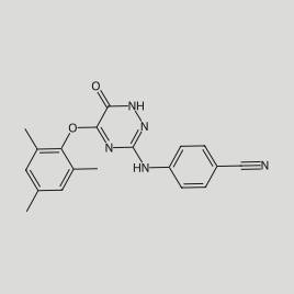 Cc1cc(C)c(Oc2nc(Nc3ccc(C#N)cc3)n[nH]c2=O)c(C)c1